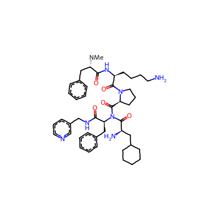 CN[C@@H](Cc1ccccc1)C(=O)N[C@@H](CCCCN)C(=O)N1CCC[C@H]1C(=O)N(C(=O)[C@H](N)CC1CCCCC1)[C@@H](Cc1ccccc1)C(=O)NCc1cccnc1